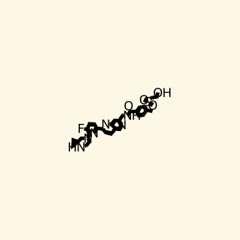 Cc1ccc(C(=O)NCc2cc3nc(-c4ccc(F)c(N5CCNC6(CC6)C5)n4)ccc3cn2)cc1S(=O)(=O)CCO